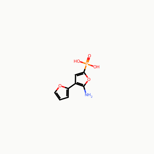 Nc1oc(P(=O)(O)O)[c]c1-c1ccco1